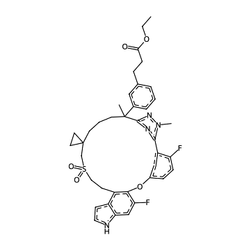 CCOC(=O)CCc1cccc(C2(C)CCCC3(CC3)CS(=O)(=O)CCc3c(c(F)cc4[nH]ccc34)Oc3ccc(F)c(c3)-c3nc2nn3C)c1